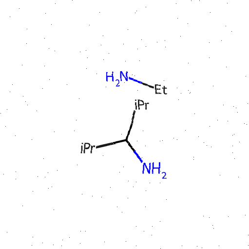 CC(C)C(N)C(C)C.CCN